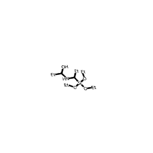 CCO[Si](OCC)(OCC)C(CC)NC(O)CC